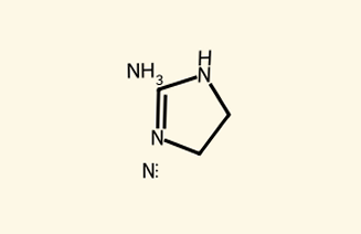 C1=NCCN1.N.[N]